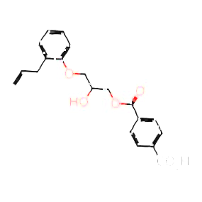 C=CCc1ccccc1OCC(O)COC(=O)c1ccc(C(=O)O)cc1